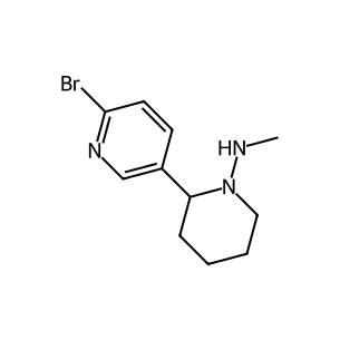 CNN1CCCCC1c1ccc(Br)nc1